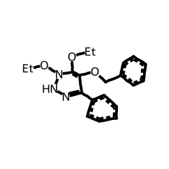 CCOC1=C(OCc2ccccc2)C(c2ccccc2)=NNN1OCC